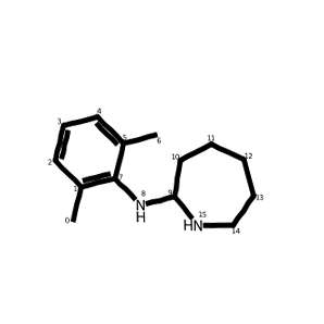 Cc1cccc(C)c1NC1CCCCCN1